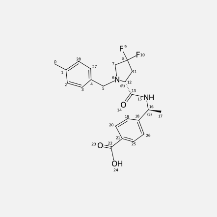 Cc1ccc(CN2CC(F)(F)C[C@@H]2C(=O)N[C@@H](C)c2ccc(C(=O)O)cc2)cc1